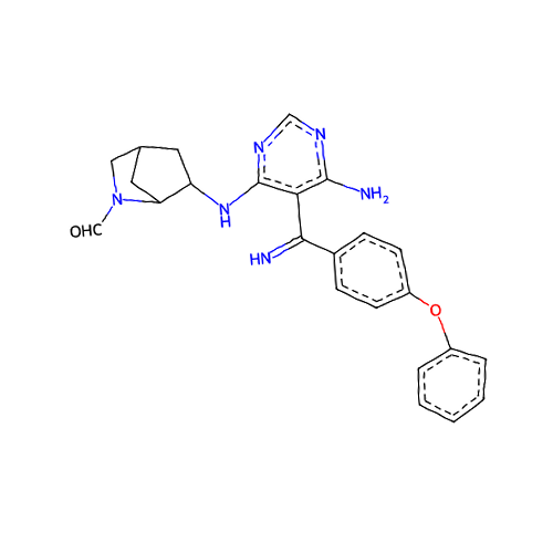 N=C(c1ccc(Oc2ccccc2)cc1)c1c(N)ncnc1NC1CC2CC1N(C=O)C2